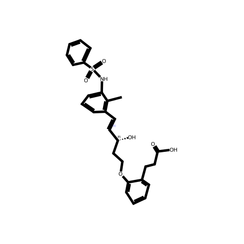 Cc1c(/C=C/[C@H](O)CCOc2ccccc2CCC(=O)O)cccc1NS(=O)(=O)c1ccccc1